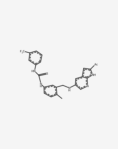 CC(=O)c1cc2cc(NCc3cc(NC(=S)Nc4cccc(C(F)(F)F)c4)ccc3C)cnc2[nH]1